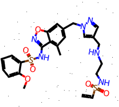 C=CS(=O)(=O)NCCNCc1cnn(Cc2cc(C)c3c(NS(=O)(=O)c4ccccc4OC)noc3c2)c1